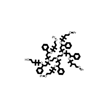 CC(C)OCCC(C)C(C)(C)OC(CC(C)(C)N(CCN(CCN(C(C)(C)CC(OC(C)(C)C(C)(C)CCO)c1ccccc1)C(C)(C)CC(OC(C)(C)C(C)(C)CCOC(C)C)c1ccccc1)C(C)(C)CC(OC(C)(C)C(C)(C)CCOC(C)C)c1ccccc1)C(C)(C)CC(OC(C)(C)C(C)(C)CCOC(C)C)c1ccccc1)c1ccccc1